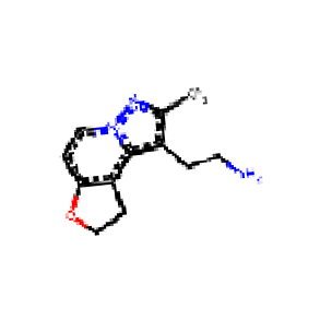 NCCc1c(C(F)(F)F)nn2ccc3c(c12)CCO3